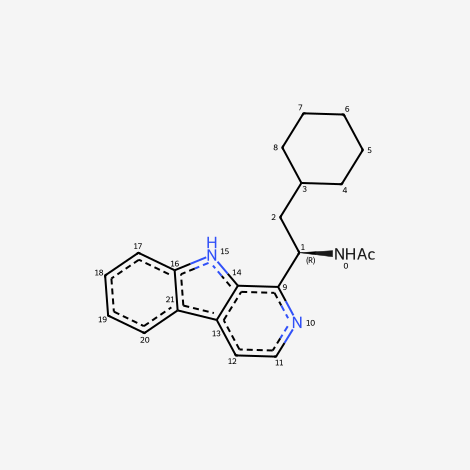 CC(=O)N[C@H](CC1CCCCC1)c1nccc2c1[nH]c1ccccc12